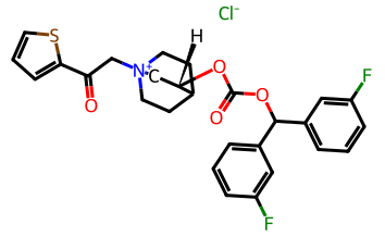 O=C(OC(c1cccc(F)c1)c1cccc(F)c1)O[C@H]1C[N+]2(CC(=O)c3cccs3)CCC1CC2.[Cl-]